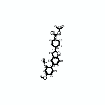 COC1=CC(=C=O)C(c2ccc3c(c2)CC(C2CCN(C(=O)OC(C)C)CC2)O3)C=C1